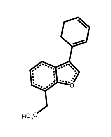 O=C(O)Cc1cccc2c(C3=CC=CCC3)coc12